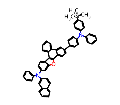 C[Si](C)(C)c1ccc(N(c2ccccc2)c2ccc(-c3ccc4c(c3)c3ccccc3c3c5ccc(N(c6ccccc6)c6ccc7ccccc7c6)cc5oc43)cc2)cc1